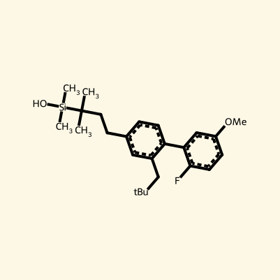 COc1ccc(F)c(-c2ccc(CCC(C)(C)[Si](C)(C)O)cc2CC(C)(C)C)c1